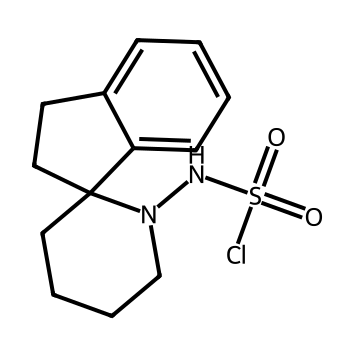 O=S(=O)(Cl)NN1CCCCC12CCc1ccccc12